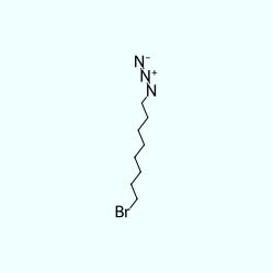 [N-]=[N+]=NCCCCCCCCBr